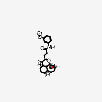 CCOc1cccc(NC(=O)CC[C@H]2O[C@@H]3O[C@]4(C)CC[C@H]5[C@H](C)CC[C@@H]([C@H]2C)[C@@]35OO4)c1